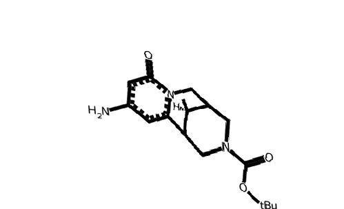 C[C@H]1C2CN(C(=O)OC(C)(C)C)CC1c1cc(N)cc(=O)n1C2